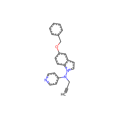 C#CCN(c1ccncc1)n1ccc2cc(OCc3ccccc3)ccc21